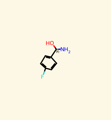 N[C@H](O)c1ccc(F)cc1